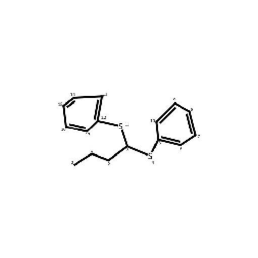 C[CH]CC(Sc1ccccc1)Sc1ccccc1